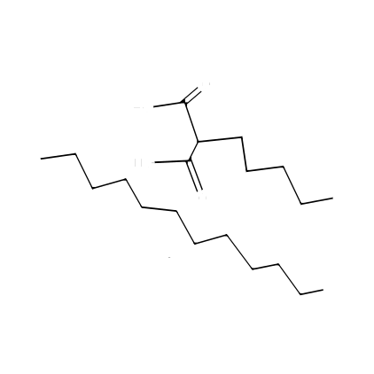 CCCCCC(C(=O)O)C(=O)O.CCCCCCCCCCCC.[KH]